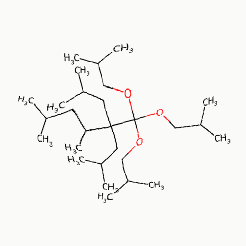 CC(C)COC(OCC(C)C)(OCC(C)C)C(CC(C)C)(CC(C)C)C(C)CC(C)C